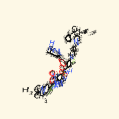 CC(C)c1ccccc1[C@@H]1CCCN1C1CC2(CCN(c3cc(Oc4cnc5[nH]ccc5c4)c(C(=O)NS(=O)(=O)c4cc([N+](=O)[O-])c(NCC5(F)CCN(C(C)C)CC5)c5[nH]cnc45)cc3F)CC2)C1